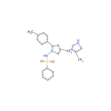 Cc1ccc(-c2nc(C(F)(F)F)cn2NS(=O)(=O)c2ccccc2)cc1.FC(F)(F)c1c[nH]cn1